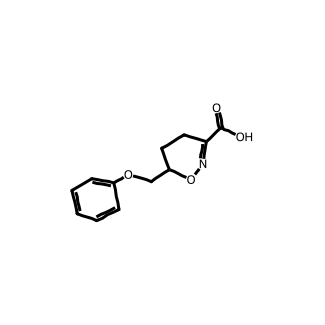 O=C(O)C1=NOC(COc2ccccc2)CC1